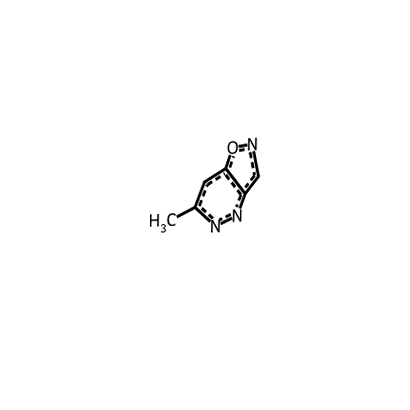 Cc1cc2oncc2nn1